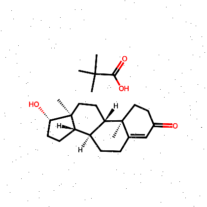 CC(C)(C)C(=O)O.C[C@]12CC[C@H]3[C@@H](CCC4=CC(=O)CC[C@@]43C)[C@@H]1CC[C@@H]2O